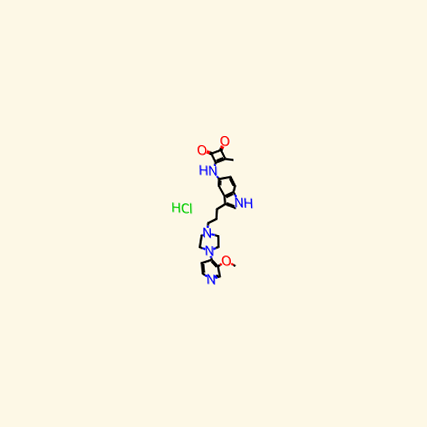 COc1cnccc1N1CCN(CCCc2c[nH]c3ccc(Nc4c(C)c(=O)c4=O)cc23)CC1.Cl